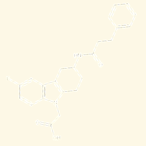 O=C(O)Cn1c2c(c3cc(F)ccc31)CC(NC(=O)CCc1ccccc1)CC2